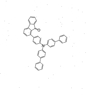 O=C1c2ccccc2-c2cccc(-c3ccc(N(c4ccc(-c5ccccc5)cc4)c4ccc(-c5ccccc5)cc4)cc3)c21